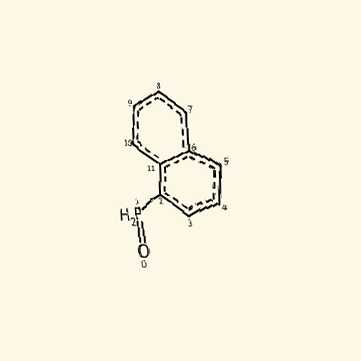 O=[PH2]c1cccc2ccccc12